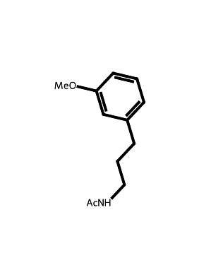 COc1cccc(CCCNC(C)=O)c1